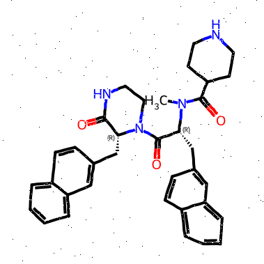 CN(C(=O)C1CCNCC1)[C@H](Cc1ccc2ccccc2c1)C(=O)N1CCNC(=O)[C@H]1Cc1ccc2ccccc2c1